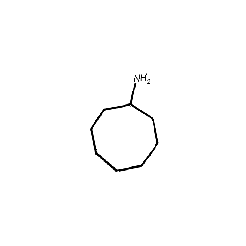 N[C]1CCCCCCC1